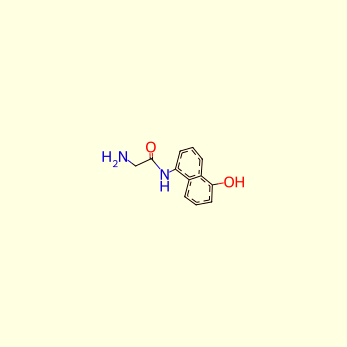 NCC(=O)Nc1cccc2c(O)cccc12